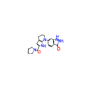 O=C(c1cc2c([nH]1)N(c1ccc3c(=O)[nH][nH]c3c1)CCC2)N1CCCC1